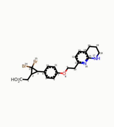 O=C(O)CC1C(c2ccc(OCCc3ccc4c(n3)NCCC4)cc2)C1(Br)Br